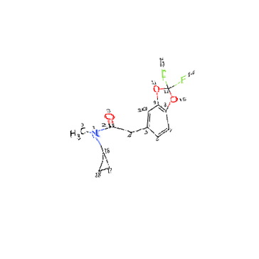 CN(C(=O)Cc1ccc2c(c1)OC(F)(F)O2)C1CC1